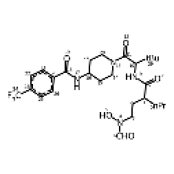 CCCC(CCN(O)C=O)C(=O)NC(C(=O)N1CCC(NC(=O)c2ccc(C(F)(F)F)cc2)CC1)C(C)(C)C